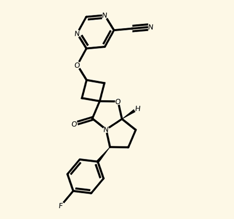 N#Cc1cc(OC2CC3(C2)O[C@@H]2CC[C@@H](c4ccc(F)cc4)N2C3=O)ncn1